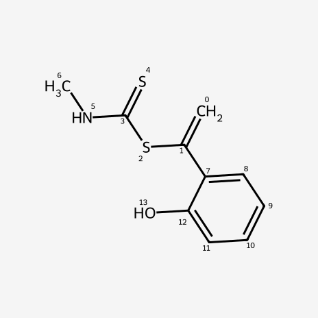 C=C(SC(=S)NC)c1ccccc1O